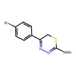 CNC1=NN=C(c2ccc(Br)cc2)CS1